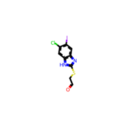 O=CCSc1nc2cc(I)c(Cl)cc2[nH]1